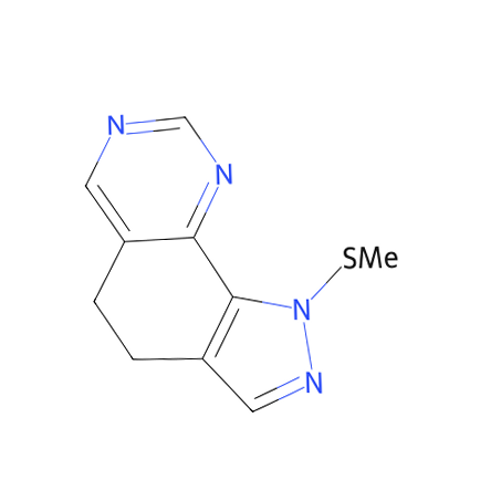 CSn1ncc2c1-c1ncncc1CC2